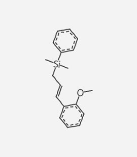 COc1ccccc1C=CC[Si](C)(C)c1ccccc1